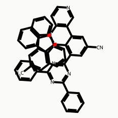 Cc1ccc2c(c1)c1ccccc1n2-c1c(-c2nc(-c3ccccc3)nc(-c3ccccc3)n2)cc(C#N)cc1-c1cnccc1-n1c2ccccc2c2ccccc21